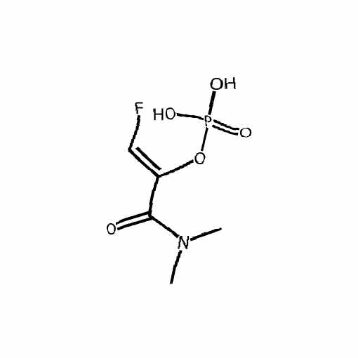 CN(C)C(=O)C(=CF)OP(=O)(O)O